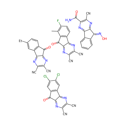 CCc1ccc2c(c1)-c1nc(C#N)c(C#N)nc1C2=O.Cc1c(F)ccc2c1C(=O)c1nc(C#N)c(C#N)nc1-2.N#Cc1nc2c(nc1C#N)-c1cc(Cl)c(Cl)cc1C2=O.N#Cc1nc2c(nc1C(N)=O)-c1ccccc1C2=NO